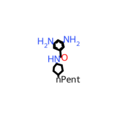 CCCCCC1CCC(NC(=O)c2cc(N)cc(N)c2)CC1